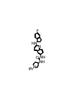 CC(C)N1CCC(NC(=O)Nc2ccc3nc(NC4CCc5cc(F)ccc54)ccc3c2)CC1